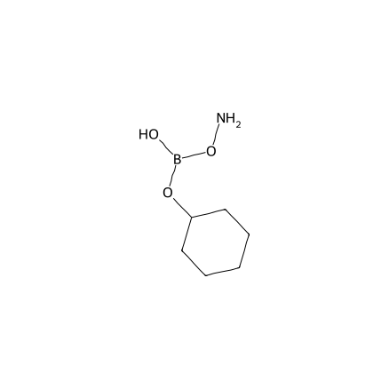 NOB(O)OC1CCCCC1